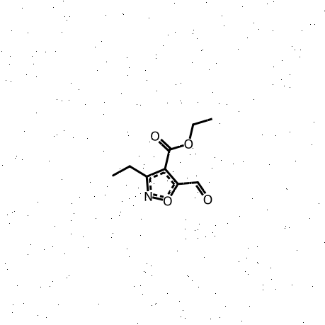 CCOC(=O)c1c(CC)noc1C=O